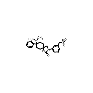 CN(C)C1(c2ccccc2)CCC2(CC1)CN(c1cccc(C[SH](=O)=O)c1)C(=O)N2